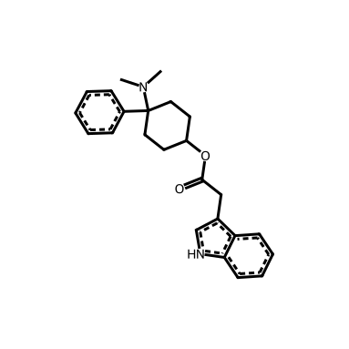 CN(C)C1(c2ccccc2)CCC(OC(=O)Cc2c[nH]c3ccccc23)CC1